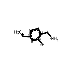 C=Cc1ccc(CN)c(F)c1